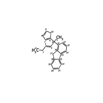 CCC=CC(C)(C1=CC=CC1)c1cccc2c1Cc1ccccc1-2